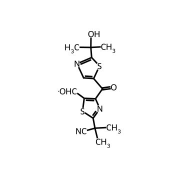 CC(C)(O)c1ncc(C(=O)c2nc(C(C)(C)C#N)sc2[C]=O)s1